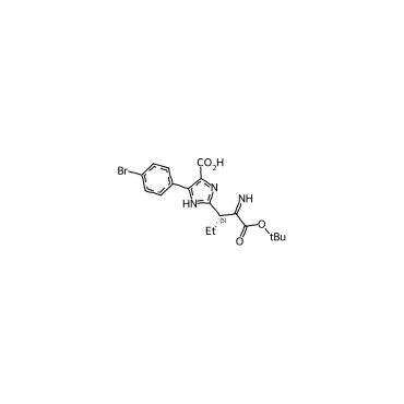 CC[C@@H](C(=N)C(=O)OC(C)(C)C)c1nc(C(=O)O)c(-c2ccc(Br)cc2)[nH]1